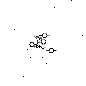 Cc1ccc(COCCN[C@H](c2ccccc2)[C@H](NS(=O)(=O)Cc2ccc(C)cc2)c2ccccc2)cc1